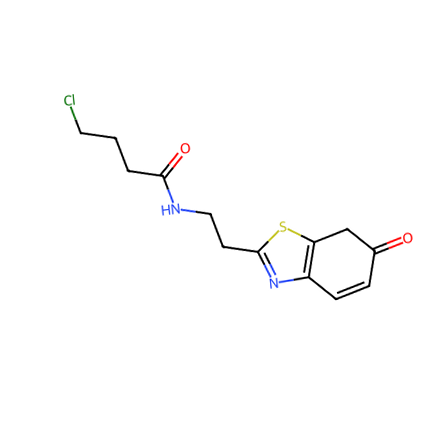 O=C1C=Cc2nc(CCNC(=O)CCCCl)sc2C1